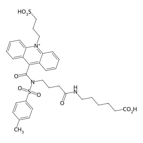 Cc1ccc(S(=O)(=O)N(CCCC(=O)NCCCCCC(=O)O)C(=O)c2c3ccccc3[n+](CCCS(=O)(=O)O)c3ccccc23)cc1